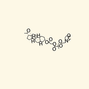 CC(=O)[C@H]1CC[C@H]2[C@@H]3CC[C@H]4C[C@](C)(OC(=O)COC(=O)C(C)(C)OC(=O)CN5CCOCC5)CC[C@]4(C)[C@H]3CC[C@]12C